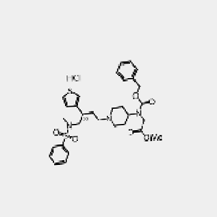 COC(=O)CN(C(=O)OCc1ccccc1)C1CCN(CC[C@@H](CN(C)S(=O)(=O)c2ccccc2)c2ccsc2)CC1.Cl